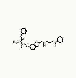 C[C@H](NCc1ccccn1)C(=O)NCc1ccc2c(c1)CC(CNCCCNC1CCCCC1)C2